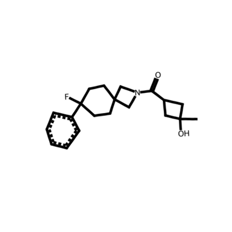 CC1(O)CC(C(=O)N2CC3(CCC(F)(c4ccccc4)CC3)C2)C1